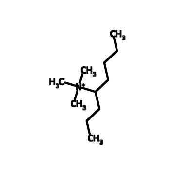 CCCCC(CCC)[N+](C)(C)C